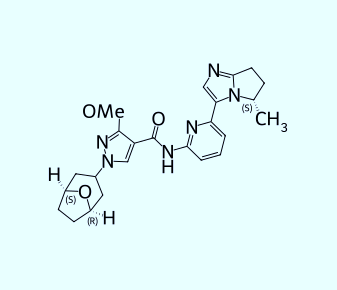 COc1nn(C2C[C@H]3CC[C@@H](C2)O3)cc1C(=O)Nc1cccc(-c2cnc3n2[C@@H](C)CC3)n1